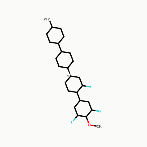 CCCC1CCC(C2CCC([C@@H]3CCC(C4CC(F)C(OC(F)(F)F)C(F)C4)C(F)C3)CC2)CC1